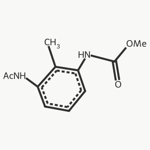 COC(=O)Nc1cccc(NC(C)=O)c1C